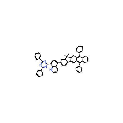 CC1(C)c2cc(-c3ccc(-c4nc(-c5ccccc5)nc(-c5ccccc5)n4)c4ncccc34)ccc2-c2cc3c(-c4ccccc4)c4ccccc4c(-c4ccccc4)c3cc21